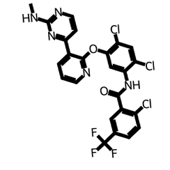 CNc1nccc(-c2cccnc2Oc2cc(NC(=O)c3cc(C(F)(F)F)ccc3Cl)c(Cl)cc2Cl)n1